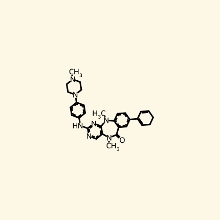 CN1CCN(c2ccc(Nc3ncc4c(n3)N(C)c3ccc(C5=CCCC=C5)cc3C(=O)N4C)cc2)CC1